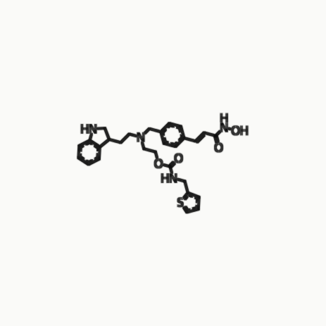 O=C(/C=C/c1ccc(CN(CCOC(=O)NCc2cccs2)CCC2CNc3ccccc32)cc1)NO